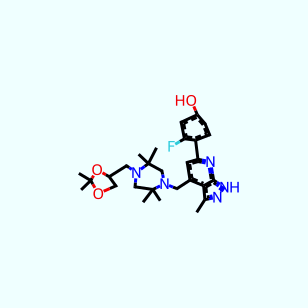 Cc1n[nH]c2nc(-c3ccc(O)cc3F)cc(CN3CC(C)(C)N(CC4COC(C)(C)O4)CC3(C)C)c12